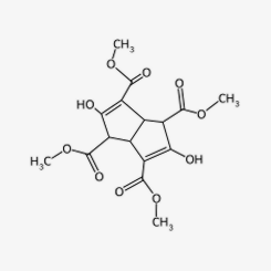 COC(=O)C1=C(O)C(C(=O)OC)C2C(C(=O)OC)=C(O)C(C(=O)OC)C12